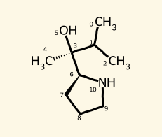 CC(C)[C@](C)(O)[C@@H]1CCCN1